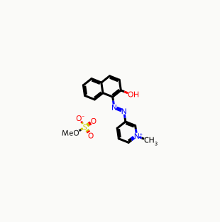 COS(=O)(=O)[O-].C[n+]1cccc(N=Nc2c(O)ccc3ccccc23)c1